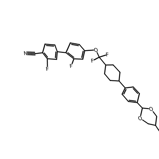 CC1COC(c2ccc(C3CCC(C(F)(F)Oc4ccc(-c5ccc(C#N)c(F)c5)c(F)c4)CC3)cc2)OC1